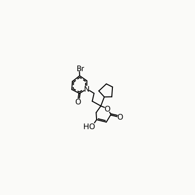 O=C1C=C(O)CC(CCn2cc(Br)ccc2=O)(C2CCCC2)O1